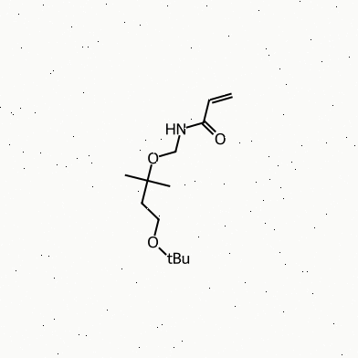 C=CC(=O)NCOC(C)(C)CCOC(C)(C)C